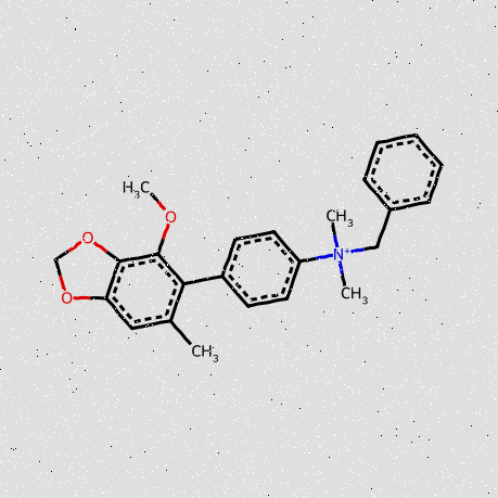 COc1c2c(cc(C)c1-c1ccc([N+](C)(C)Cc3ccccc3)cc1)OCO2